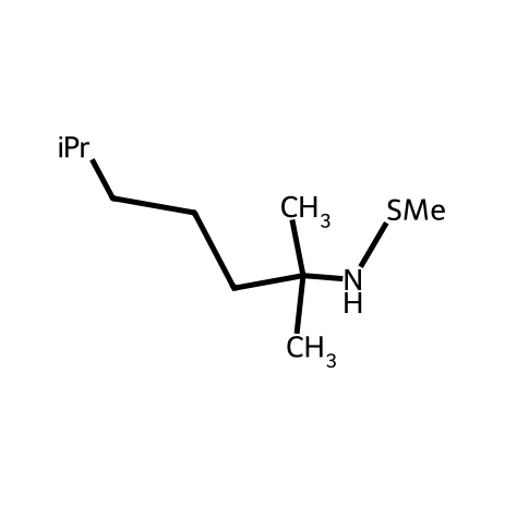 CSNC(C)(C)CCCC(C)C